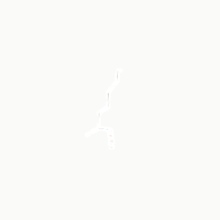 [CH2]CCCCC(C)C=O